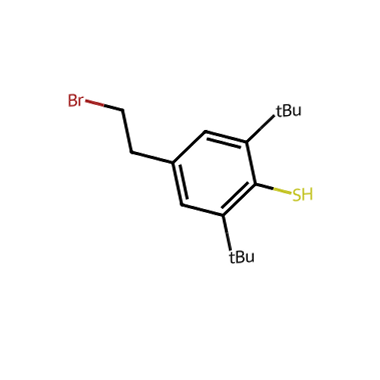 CC(C)(C)c1cc(CCBr)cc(C(C)(C)C)c1S